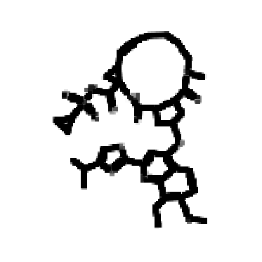 CCc1c(OC)ccc2c(OC3CC4C(=O)NC5(C(=O)NS(=O)(=O)C6CC6)CC5C=CCCCCN(C)C(=O)C4C3)cc(-c3nc(C(C)C)cs3)nc12